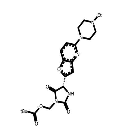 CCN1CCN(c2ccc3oc([C@@H]4NC(=O)N(COC(=O)C(C)(C)C)C4=O)cc3n2)CC1